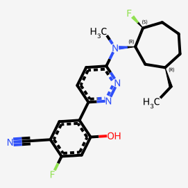 CC[C@@H]1CCC[C@H](F)[C@H](N(C)c2ccc(-c3cc(C#N)c(F)cc3O)nn2)C1